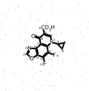 O=C(O)c1cn(C2CC2)c2c(F)c(F)c3ocnc3c2c1=O